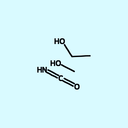 CCO.CO.N=C=O